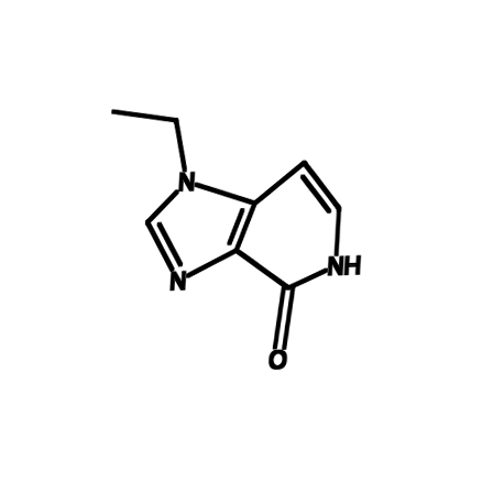 CCn1cnc2c(=O)[nH]ccc21